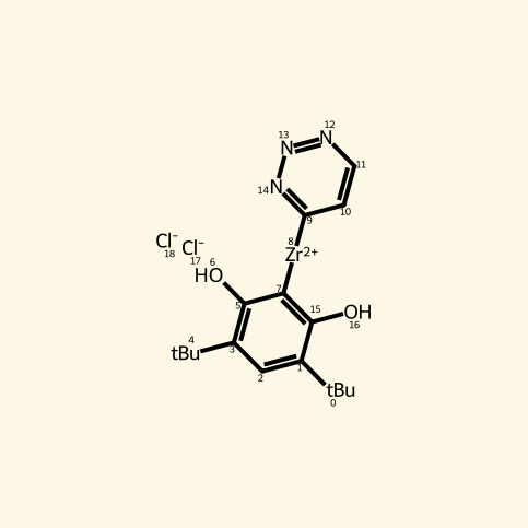 CC(C)(C)c1cc(C(C)(C)C)c(O)[c]([Zr+2][c]2ccnnn2)c1O.[Cl-].[Cl-]